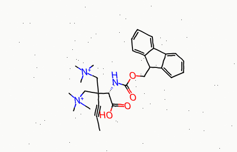 CC#CC(C[N+](C)(C)C)(C[N+](C)(C)C)[C@H](NC(=O)OCC1c2ccccc2-c2ccccc21)C(=O)O